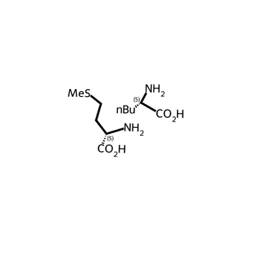 CCCC[C@H](N)C(=O)O.CSCC[C@H](N)C(=O)O